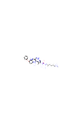 Cc1c(NC(=O)NCCCCCCN(C)C)cn2ncc(C#N)c(Nc3ccc(Oc4ccccc4)cc3)c12